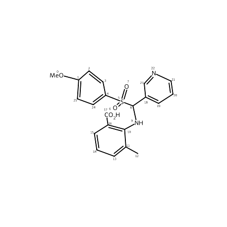 COc1ccc(S(=O)(=O)C(Nc2c(C)cccc2C(=O)O)c2cccnc2)cc1